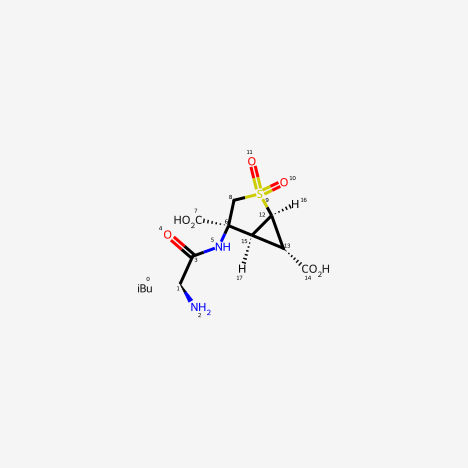 CC[C@H](C)[C@H](N)C(=O)N[C@@]1(C(=O)O)CS(=O)(=O)[C@H]2[C@H](C(=O)O)[C@H]21